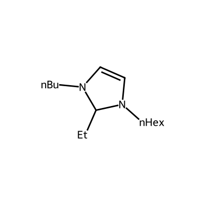 CCCCCCN1C=CN(CCCC)C1CC